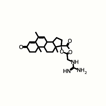 CC(=O)[C@@]1(OC(=O)CNC(=N)N)CCC2C3C=C(C)C4=CC(=O)CCC4(C)C3CCC21C